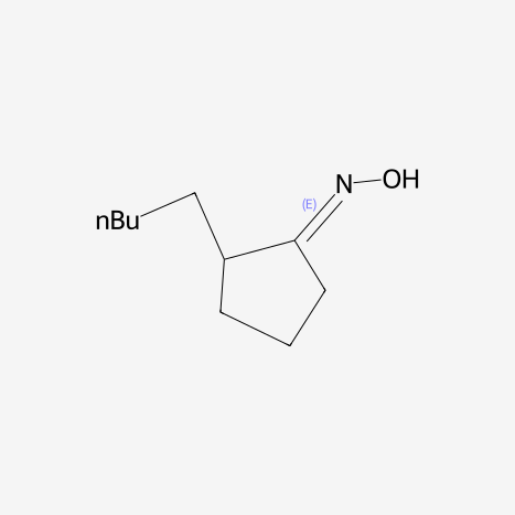 CCCCCC1CCC/C1=N\O